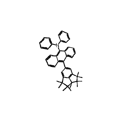 CC1(C)c2cc(-c3c4ccccc4c(N(c4ccccc4)c4ccccc4)c4ccccc34)cc3c2C(C)(C1(C)C)C(C)(C)C3(C)C